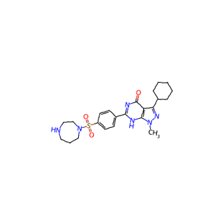 Cn1nc(C2CCCCC2)c2c(=O)nc(-c3ccc(S(=O)(=O)N4CCCNCC4)cc3)[nH]c21